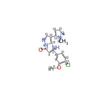 CC(C)Oc1cc(-c2cc(=O)n3ncc(-c4ccnn4C)c3[nH]2)ccc1Cl